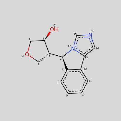 O[C@@H]1COC[C@H]1[C@@H]1c2ccccc2-c2cncn21